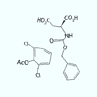 CC(=O)Oc1c(Cl)cccc1Cl.O=C(O)C[C@H](NC(=O)OCc1ccccc1)C(=O)O